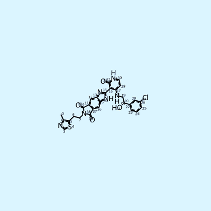 Cc1ncsc1CCN1C(=O)c2cc3nc(-c4c(NC[C@@H](O)c5cccc(Cl)c5)cc[nH]c4=O)[nH]c3cc2C1=O